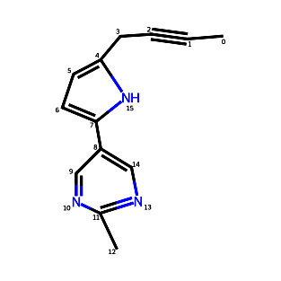 CC#CCc1ccc(-c2cnc(C)nc2)[nH]1